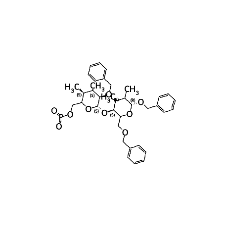 CC1[C@H](OCc2ccccc2)OC(COCc2ccccc2)[C@@H](O[C@@H]2OC(COP(=O)=O)[C@@H](C)[C@H](C)C2OCc2ccccc2)[C@@H]1C